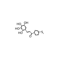 CSc1ccc(C(=O)C=Cc2cc(O)c(O)c(O)c2O)cc1